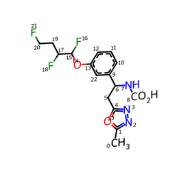 Cc1nnc(CC(NC(=O)O)c2cccc(OC(F)C(F)CCF)c2)o1